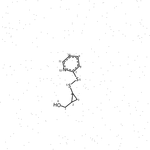 OCC1CC1SSc1ccccn1